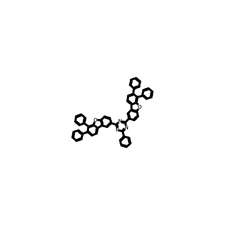 c1ccc(-c2nc(-c3ccc4oc5c(-c6ccccc6)c(-c6ccccc6)ccc5c4c3)nc(-c3ccc4oc5c(-c6ccccc6)c(-c6ccccc6)ccc5c4c3)n2)cc1